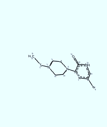 CSN1CCN(c2nc(Br)c[nH]c2=O)CC1